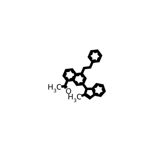 CC(=O)c1cccc2c(CCc3ccccc3)cc(C3C(C)=Cc4ccccc43)cc12